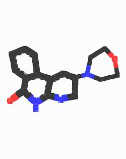 O=c1[nH]c2ncc(N3CCOCC3)cc2c2ccccc12